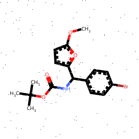 COc1ccc(C(NC(=O)OC(C)(C)C)c2ccc(Br)cc2)o1